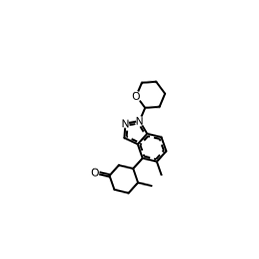 Cc1ccc2c(cnn2C2CCCCO2)c1C1CC(=O)CCC1C